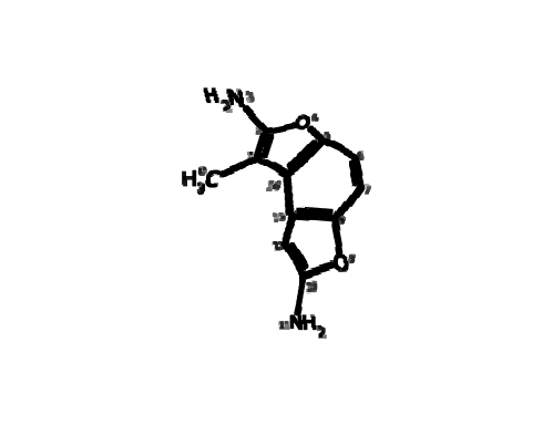 Cc1c(N)oc2ccc3oc(N)cc3c12